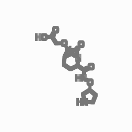 O=C(O)CON1C(=O)N2CC1CCC2C(=O)NO[C@@H]1CCNC1